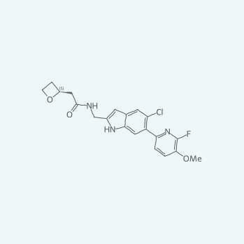 COc1ccc(-c2cc3[nH]c(CNC(=O)C[C@@H]4CCO4)cc3cc2Cl)nc1F